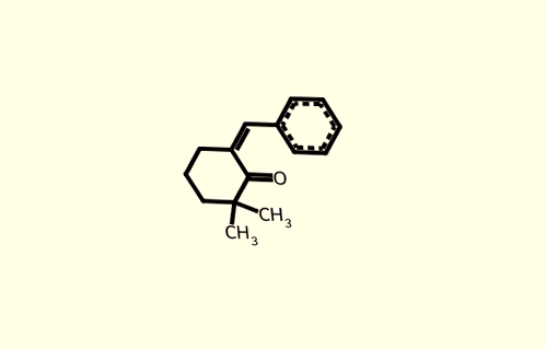 CC1(C)CCCC(=Cc2ccccc2)C1=O